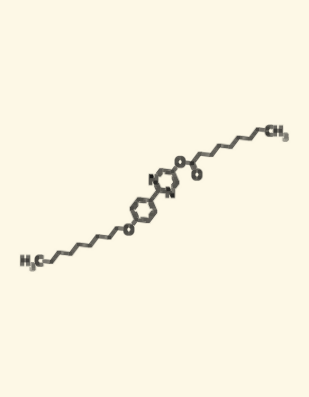 CCCCCCCCCOc1ccc(-c2ncc(OC(=O)CCCCCCCC)cn2)cc1